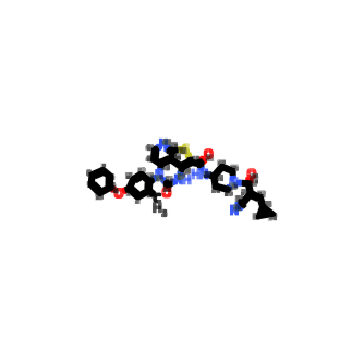 Cc1cc(Oc2ccccc2)ccc1N1C(=O)Nc2c(C(=O)NC3CCN(C(=O)C(C#N)=CC4CC4)CC3)sc3nccc1c23